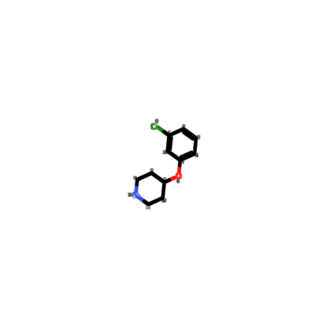 Clc1cccc(OC2CC[N]CC2)c1